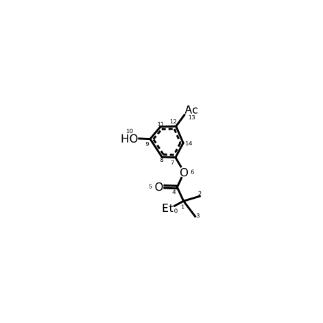 CCC(C)(C)C(=O)Oc1cc(O)cc(C(C)=O)c1